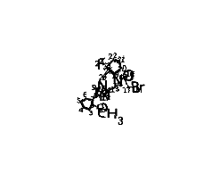 COc1ccccc1-c1cn2c(n1)CN(C(=O)CBr)c1cccc(F)c1C2